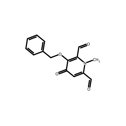 Cn1c(C=O)cc(=O)c(OCc2ccccc2)c1C=O